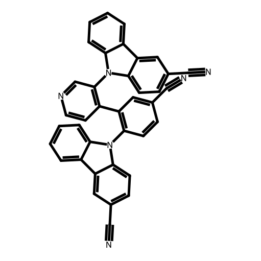 N#Cc1ccc(-n2c3ccccc3c3cc(C#N)ccc32)c(-c2ccncc2-n2c3ccccc3c3cc(C#N)ccc32)c1